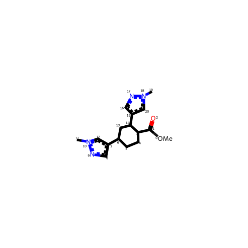 COC(=O)C1CCC(c2cnn(C)c2)CC1c1cnn(C)c1